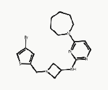 Brc1csc(CN2CC(Nc3nccc(N4CCCCCC4)n3)C2)c1